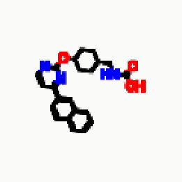 O=C(O)NC[C@H]1CC[C@H](Oc2nccc(-c3ccc4ccccc4c3)n2)CC1